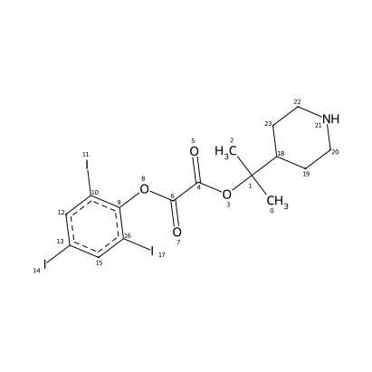 CC(C)(OC(=O)C(=O)Oc1c(I)cc(I)cc1I)C1CCNCC1